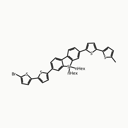 CCCCCC[Si]1(CCCCCC)c2cc(-c3ccc(-c4ccc(C)s4)s3)ccc2-c2ccc(-c3ccc(-c4ccc(Br)s4)s3)cc21